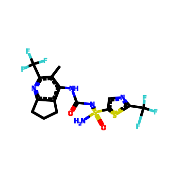 Cc1c(C(F)(F)F)nc2c(c1NC(=O)N=S(N)(=O)c1cnc(C(F)(F)F)s1)CCC2